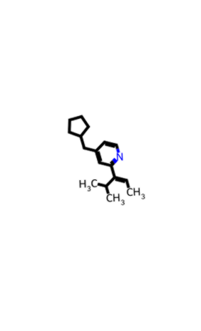 C/C=C(/c1cc(CC2CCCC2)ccn1)C(C)C